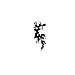 CCNC(=O)c1cc(-c2cc(C)c3c(n2)C2(CCOC2)N(c2cnn(CCF)c2)C3=O)cnc1OC